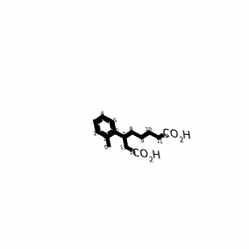 Cc1ccccc1C(CCCCC(=O)O)CC(=O)O